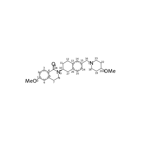 COc1ccc2c(c1)CCN([C@H]1CCc3cc(CN4CCC(OC)CC4)ccc3C1)C2=O